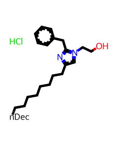 CCCCCCCCCCCCCCCCCCc1cn(CCO)c(Cc2ccccc2)n1.Cl